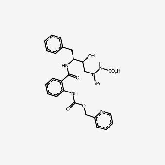 CC(C)N(C[C@H](O)[C@H](Cc1ccccc1)NC(=O)c1ccccc1NC(=O)OCc1ccccn1)NC(=O)O